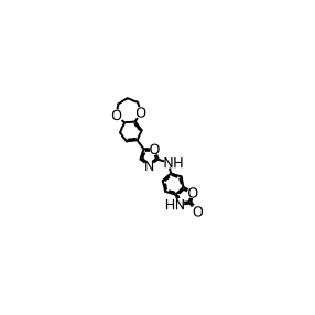 O=c1[nH]c2ccc(Nc3ncc(C4=CCC5OCCCOC5=C4)o3)cc2o1